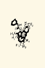 CC1=CC23C(=O)[C@@H](C=C4COC(C)(C)O[C@H]4[C@]2(O)[C@H]1OC(=O)NC1CCCCC1)C(C)(C)[C@@H](C)CC3C